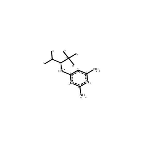 CC(C)[C@H](Nc1cc(N)nc(N)n1)C(C)(C)C